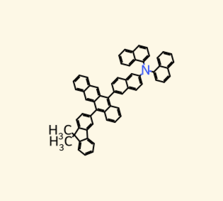 CC1(C)c2ccccc2-c2cc(-c3c4ccccc4c(-c4ccc5cc(N(c6cccc7ccccc67)c6cccc7ccccc67)ccc5c4)c4cc5ccccc5cc34)ccc21